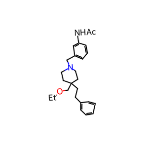 CCOCC1(CCc2ccccc2)CCN(Cc2cccc(NC(C)=O)c2)CC1